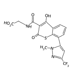 Cn1nc(C(F)(F)F)cc1-c1cccc2c(O)c(C(=O)NCC(=O)O)c(=O)sc12